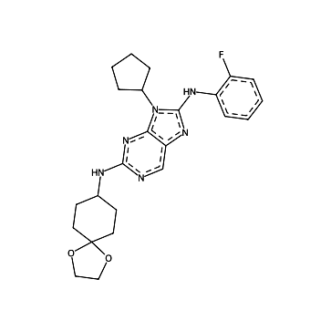 Fc1ccccc1Nc1nc2cnc(NC3CCC4(CC3)OCCO4)nc2n1C1CCCC1